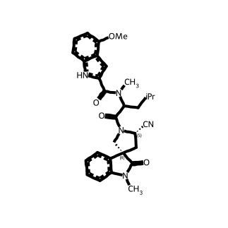 COc1cccc2[nH]c(C(=O)N(C)C(CC(C)C)C(=O)N3C[C@]4(C[C@H]3C#N)C(=O)N(C)c3ccccc34)cc12